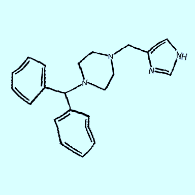 c1ccc(C(c2ccccc2)N2CCN(Cc3c[nH]cn3)CC2)cc1